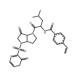 C=Cc1ccc(C(=O)NC(CC(C)C)C(=O)N2CCC3C2C(=O)CN3S(=O)(=O)C2=NC=CCC2=O)cc1